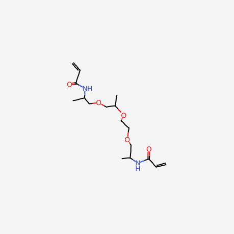 C=CC(=O)NC(C)COCCOC(C)COCC(C)NC(=O)C=C